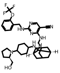 N#Cc1cnc(NCc2ccccc2OC(F)(F)F)nc1NC[C@]12CC3C[C@H](C1)[C@@H](NC1CCC(N4CCC[C@@H]4CO)CC1)[C@@H](C3)C2